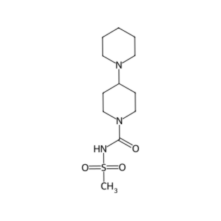 CS(=O)(=O)NC(=O)N1CCC(N2CCCCC2)CC1